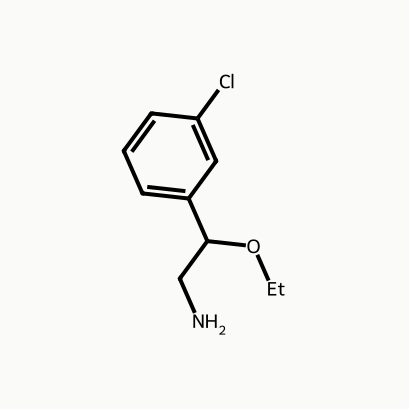 CCOC(CN)c1cccc(Cl)c1